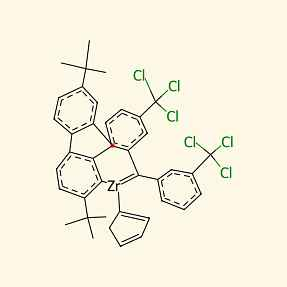 CC(C)(C)c1ccc2c(c1)Cc1c-2ccc(C(C)(C)C)[c]1[Zr]([C]1=CC=CC1)=[C](c1cccc(C(Cl)(Cl)Cl)c1)c1cccc(C(Cl)(Cl)Cl)c1